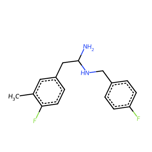 Cc1cc(CC(N)NCc2ccc(F)cc2)ccc1F